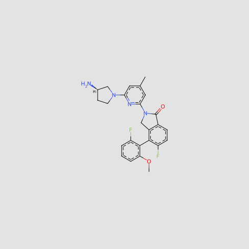 COc1cccc(F)c1-c1c(F)ccc2c1CN(c1cc(C)cc(N3CC[C@@H](N)C3)n1)C2=O